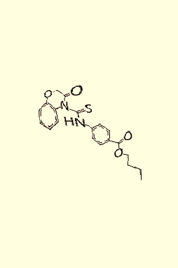 CCCCOC(=O)c1ccc(NC(=S)N2C(=O)COc3ccccc32)cc1